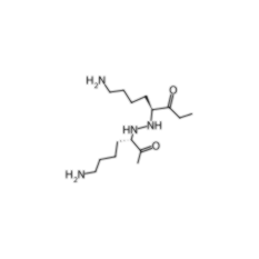 CCC(=O)[C@H](CCCCN)NN[C@@H](CCCCN)C(C)=O